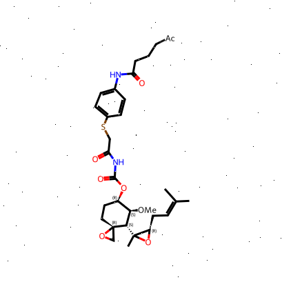 CO[C@H]1[C@H](C2(C)O[C@@H]2CC=C(C)C)[C@]2(CC[C@H]1OC(=O)NC(=O)CSc1ccc(NC(=O)CCCC(C)=O)cc1)CO2